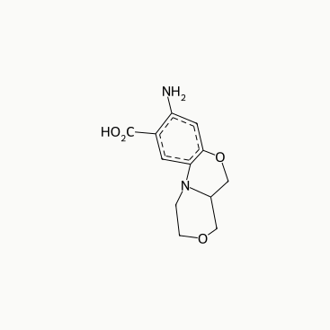 Nc1cc2c(cc1C(=O)O)N1CCOCC1CO2